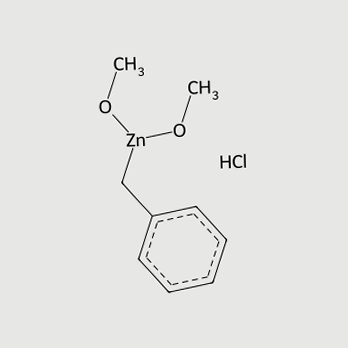 C[O][Zn]([CH2]c1ccccc1)[O]C.Cl